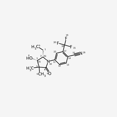 CC[C@H]1[C@@H](O)C(C)(C)C(=O)N1c1ccc(C#N)c(C(F)(F)F)c1